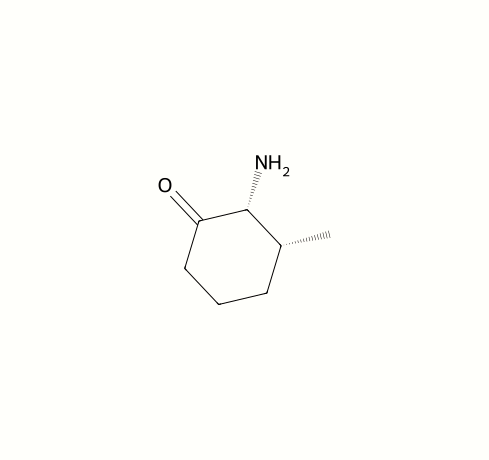 C[C@@H]1CCCC(=O)[C@@H]1N